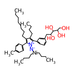 CCCCCCCCC1=C(c2ccc(C)cc2)[N+](=[N-])C(c2cccc(CC(O)C(O)C(O)CO)c2)=C1CCCC.CCC[CH2][Ni][CH2]CCC